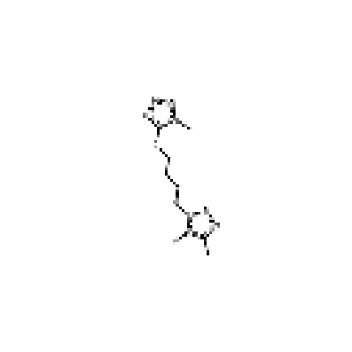 Cc1nnc(SCCCSc2nnnn2C)n1C